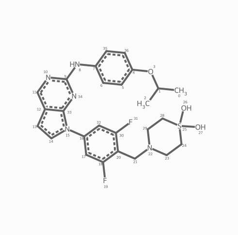 CC(C)Oc1ccc(Nc2ncc3ccn(-c4cc(F)c(CN5CCS(O)(O)CC5)c(F)c4)c3n2)cc1